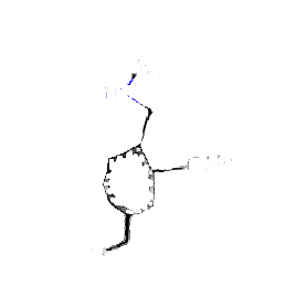 COc1cc(CC(C)(C)C)ccc1CNC(C)(C)C